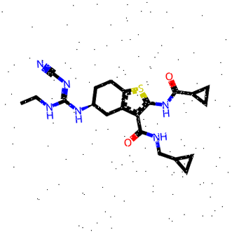 CCNC(=NC#N)N[C@H]1CCc2sc(NC(=O)C3CC3)c(C(=O)NCC3CC3)c2C1